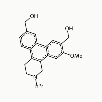 CCCN1CCc2c(c3cc(OC)c(CO)cc3c3cc(CO)ccc23)C1